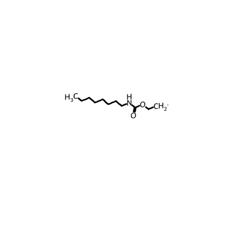 [CH2]COC(=O)NCCCCCCCC